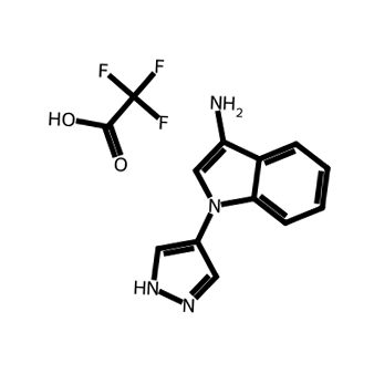 Nc1cn(-c2cn[nH]c2)c2ccccc12.O=C(O)C(F)(F)F